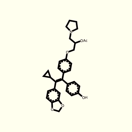 CC(=O)OC(COc1ccc(C(=C(c2ccc3c(c2)OCO3)C2CC2)c2ccc(O)cc2)cc1)CN1CCCC1